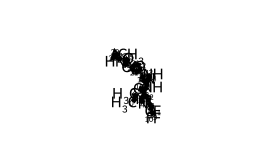 CC(C)n1nc(COC(F)(F)F)cc1C(=O)Nc1cc([C@@H]2C[C@H](OC(=O)NC3(C)CC3)CO2)[nH]n1